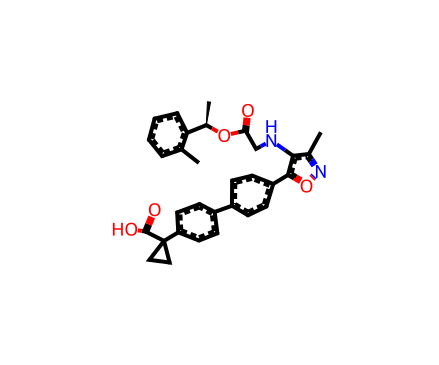 Cc1ccccc1[C@@H](C)OC(=O)CNc1c(C)noc1-c1ccc(-c2ccc(C3(C(=O)O)CC3)cc2)cc1